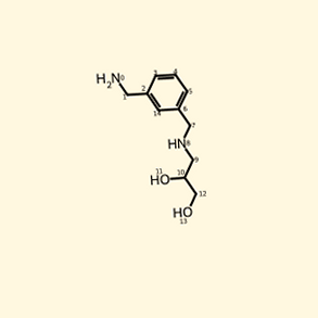 NCc1cccc(CNCC(O)CO)c1